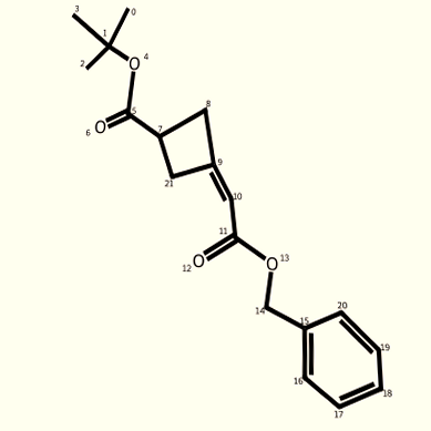 CC(C)(C)OC(=O)C1CC(=CC(=O)OCc2ccccc2)C1